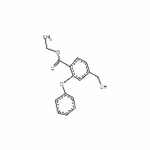 CCOC(=O)c1ccc(CO)cc1Oc1ccccc1